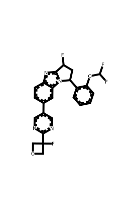 FC(F)Oc1ccccc1C1CC(F)c2nc3ccc(-c4cnc(C5(F)COC5)nc4)cc3n21